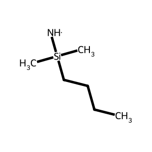 CCCC[Si](C)(C)[NH]